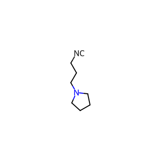 [C-]#[N+]CCCN1CCCC1